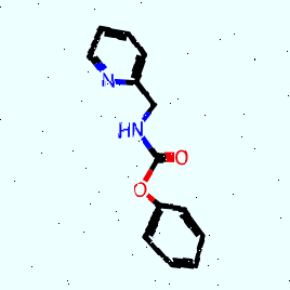 O=C(NCc1ccccn1)Oc1ccccc1